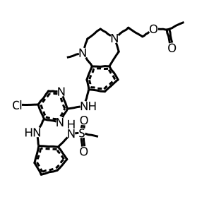 CC(=O)OCCN1CCN(C)c2cc(Nc3ncc(Cl)c(Nc4ccccc4NS(C)(=O)=O)n3)ccc2C1